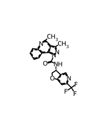 Cc1nc2ccccc2c2c1c(C)nn2C(=O)N[C@@H]1COc2cc(C(F)(F)F)ncc21